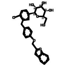 OC[C@H]1O[C@@H](c2ccc(Cl)c(Cc3ccc(OCc4cc5ccccc5o4)cc3)c2)[C@H](O)[C@@H](O)[C@@H]1O